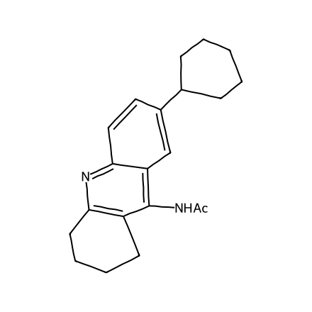 CC(=O)Nc1c2c(nc3ccc(C4CCCCC4)cc13)CCCC2